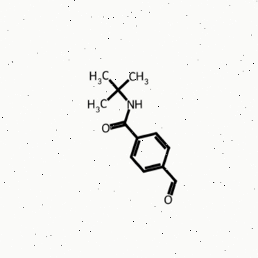 CC(C)(C)NC(=O)c1ccc(C=O)cc1